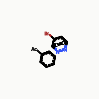 Brc1cc2ccc1nn2.CC(=O)c1ccccc1